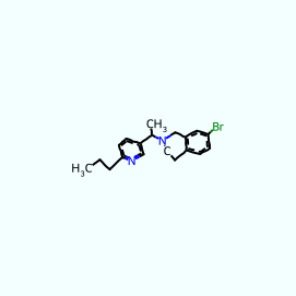 CCCc1ccc(C(C)N2CCc3ccc(Br)cc3C2)cn1